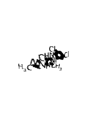 Cc1cn(-c2nc(C)nc(Nc3c(Cl)cc(Cl)cc3Cl)c2Cl)cn1